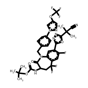 CC(C)(C)OC(=O)NC1CC(F)(F)c2cc(F)c(-c3nnc(C(C)(C)C#N)o3)cc2N(Cc2ccc(-n3cc(OC(F)(F)F)cn3)cc2)C1=O